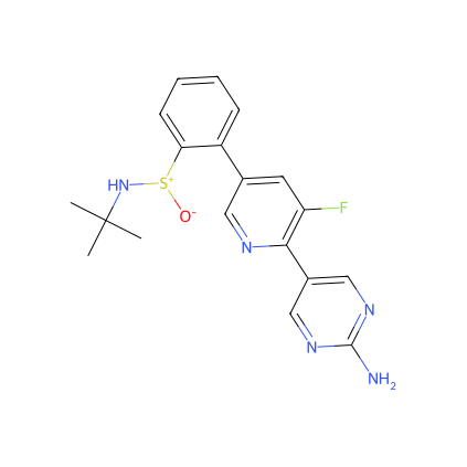 CC(C)(C)N[S+]([O-])c1ccccc1-c1cnc(-c2cnc(N)nc2)c(F)c1